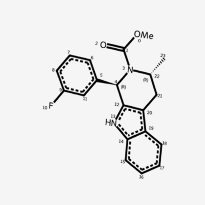 COC(=O)N1[C@H](c2cccc(F)c2)c2[nH]c3ccccc3c2C[C@H]1C